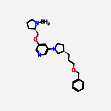 BN1CCC[C@H]1COc1cncc(N2CC[C@H](CCCOCc3ccccc3)C2)c1